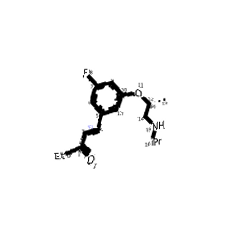 CCC(=O)/C=C/c1cc(F)cc(O[C@H](C)CNC(C)C)c1